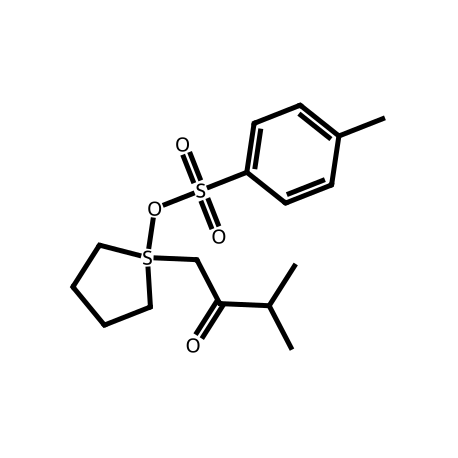 Cc1ccc(S(=O)(=O)OS2(CC(=O)C(C)C)CCCC2)cc1